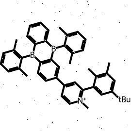 Cc1cc(C(C)(C)C)cc(-c2cc(-c3ccc4c(c3)B(c3c(C)cccc3C)c3ccccc3B4c3c(C)cccc3C)cc[n+]2C)c1C